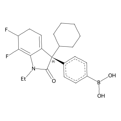 CCN1C(=O)[C@@](c2ccc(B(O)O)cc2)(C2CCCCC2)C2=CCC(F)C(F)=C21